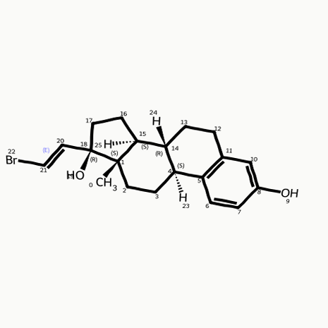 C[C@]12CC[C@@H]3c4ccc(O)cc4CC[C@H]3[C@@H]1CC[C@@]2(O)/C=C/Br